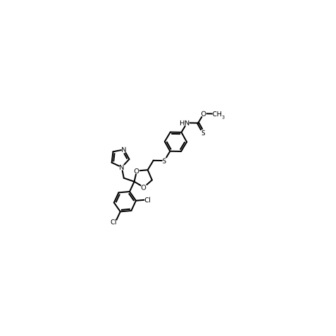 COC(=S)Nc1ccc(SCC2COC(Cn3ccnc3)(c3ccc(Cl)cc3Cl)O2)cc1